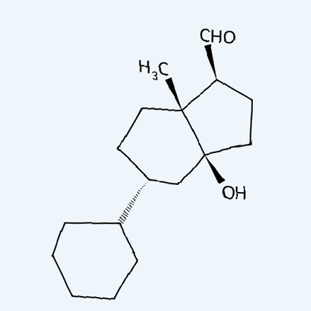 C[C@]12CC[C@@H](C3CCCCC3)C[C@@]1(O)CC[C@@H]2C=O